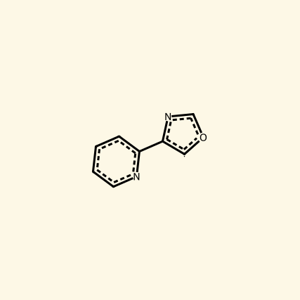 [c]1ocnc1-c1ccccn1